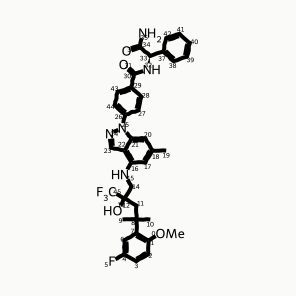 COc1ccc(F)cc1C(C)(C)CC(O)(CNc1cc(C)cc2c1cnn2-c1ccc(C(=O)N[C@H](C(N)=O)c2ccccc2)cc1)C(F)(F)F